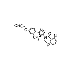 O=CCOc1ccc(-c2nnc(N(CC3CC3)C(=O)c3ccccc3Cl)s2)c(C(F)(F)F)c1